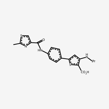 Cc1nc(C(=O)Nc2ccc(-c3cc(NC(C)C)c(C(=O)O)s3)cc2)cs1